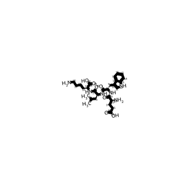 CC(C)C[C@H](NC(=O)[C@H](Cc1c[nH]c2ccccc12)NC(=O)[C@@H](N)CCC(=O)O)C(=O)N[C@@H](CCCCN)C(=O)O